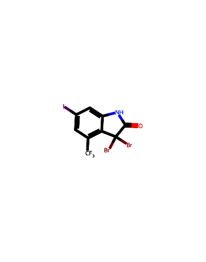 O=C1Nc2cc(I)cc(C(F)(F)F)c2C1(Br)Br